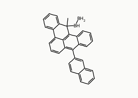 BBC1(C)c2ccccc2-c2cccc3c(-c4ccc5ccccc5c4)c4ccccc4c1c23